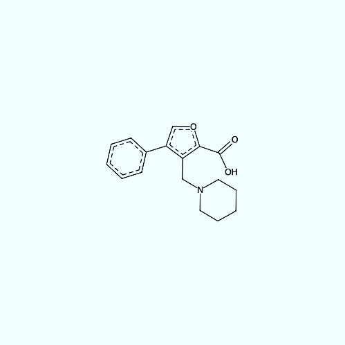 O=C(O)c1occ(-c2ccccc2)c1CN1CCCCC1